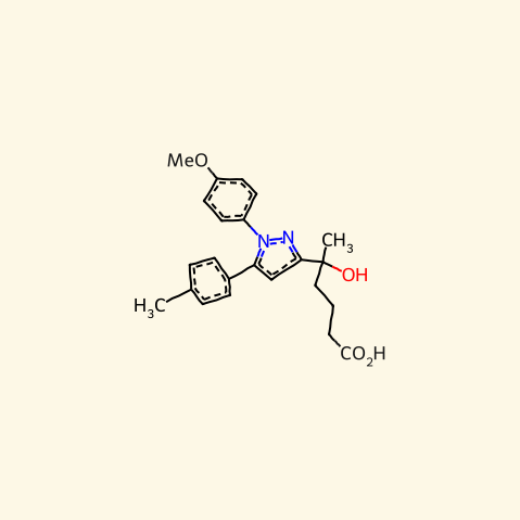 COc1ccc(-n2nc(C(C)(O)CCCC(=O)O)cc2-c2ccc(C)cc2)cc1